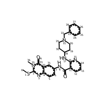 CSc1nc2ccc(NC(=O)c3cccnc3NC3CCN(Cc4ccccc4)CC3)cc2c(=O)n1C